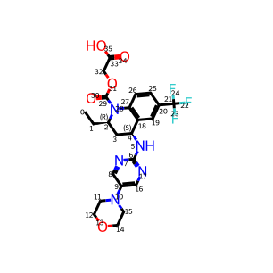 CC[C@@H]1C[C@H](Nc2ncc(N3CCOCC3)cn2)c2cc(C(F)(F)F)ccc2N1C(=O)OCC(=O)O